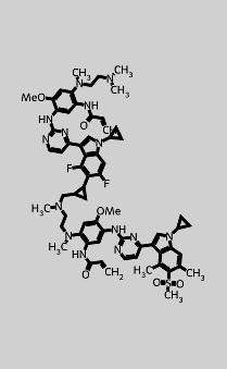 C=CC(=O)Nc1cc(Nc2nccc(-c3cn(C4CC4)c4cc(F)c(C5CC5CN(C)CCN(C)c5cc(OC)c(Nc6nccc(-c7cn(C8CC8)c8cc(C)c(S(C)(=O)=O)c(C)c78)n6)cc5NC(=O)C=C)c(F)c34)n2)c(OC)cc1N(C)CCN(C)C